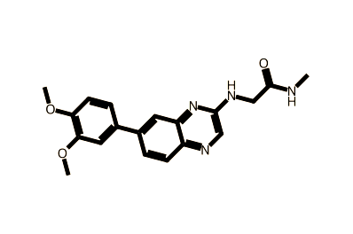 CNC(=O)CNc1cnc2ccc(-c3ccc(OC)c(OC)c3)cc2n1